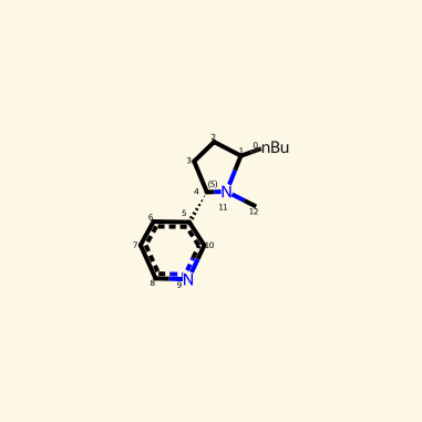 CCCCC1CC[C@@H](c2cccnc2)N1C